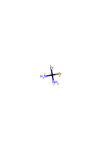 CCC(N)(N)Br